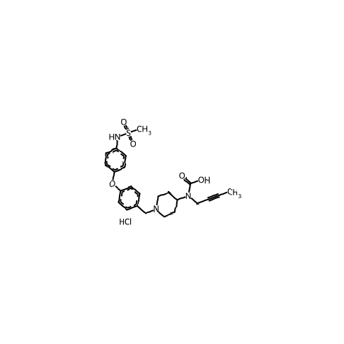 CC#CCN(C(=O)O)C1CCN(Cc2ccc(Oc3ccc(NS(C)(=O)=O)cc3)cc2)CC1.Cl